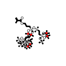 C=C(C)C(=O)OCCC[Si](OC(C)(C)CC[Si](O[Si](C)(C)C)(O[Si](C)(C)C)O[Si](C)(C)C)(O[Si](C)(C)CC[Si](O[Si](C)(C)C)(O[Si](C)(C)C)O[Si](C)(C)C)O[Si](C)(C)CC[Si](O[Si](C)(C)C)(O[Si](C)(C)C)O[Si](C)(C)C